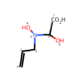 C=CCN(O)C(O)C(=O)O